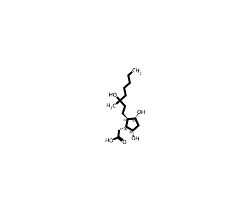 CCCCCC(C)(O)CC[C@@H]1[C@@H](CC(=O)O)[C@@H](O)C[C@H]1O